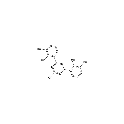 Oc1cccc(-c2nc(Cl)nc(-c3cccc(O)c3O)n2)c1O